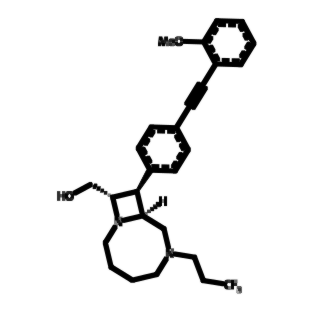 COc1ccccc1C#Cc1ccc([C@@H]2[C@@H](CO)N3CCCCN(CCC(F)(F)F)C[C@H]23)cc1